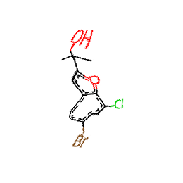 CC(C)(O)c1cc2cc(Br)cc(Cl)c2o1